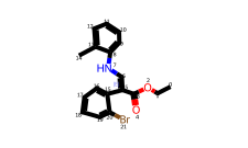 CCOC(=O)/C(=C/Nc1ccccc1C)c1ccccc1Br